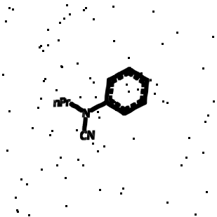 CCCN(C#N)c1cc[c]cc1